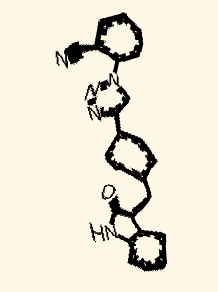 N#Cc1ccccc1-n1cc(-c2ccc(C=C3C(=O)Nc4ccccc43)cc2)nn1